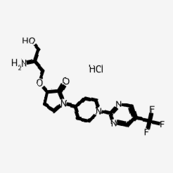 Cl.NC(CO)COC1CCN(C2CCN(c3ncc(C(F)(F)F)cn3)CC2)C1=O